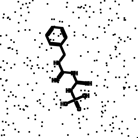 N=C(NCc1ccccc1)NC(=N)NP(=O)(O)O